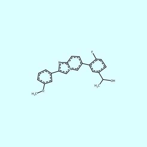 COc1cccc(-c2cn3cc(-c4cc(C(C)O)ccc4F)ccc3n2)c1